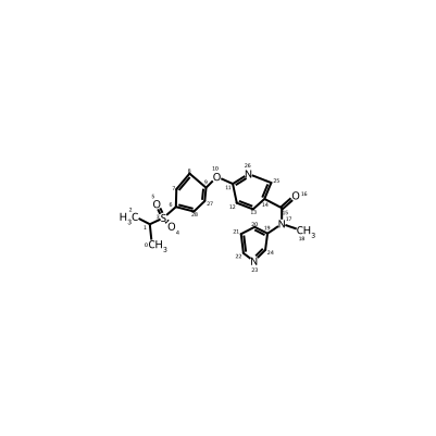 CC(C)S(=O)(=O)c1ccc(Oc2ccc(C(=O)N(C)c3cccnc3)cn2)cc1